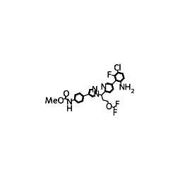 COC(=O)Nc1ccc(-c2cnn(C(CCOC(F)F)c3ccc(-c4c(N)ccc(Cl)c4F)cn3)c2)cc1